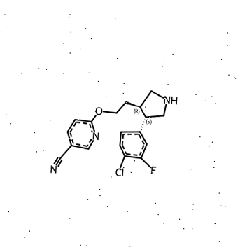 N#Cc1ccc(OCC[C@H]2CNC[C@@H]2c2ccc(Cl)c(F)c2)nc1